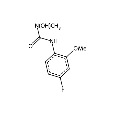 COc1cc(F)ccc1NC(=O)N(C)O